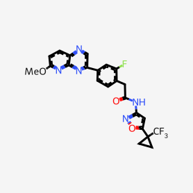 COc1ccc2ncc(-c3ccc(CC(=O)Nc4cc(C5(C(F)(F)F)CC5)on4)c(F)c3)nc2n1